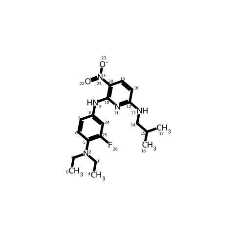 CCN(CC)c1ccc(Nc2nc(NCC(C)C)ccc2[N+](=O)[O-])cc1F